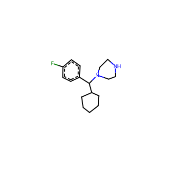 Fc1ccc(C(C2CCCCC2)N2CCNCC2)cc1